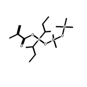 C=C(C)C(=O)O[Si](O[Si](C)(C)O[Si](C)(C)C)(C(C)CC)C(C)CC